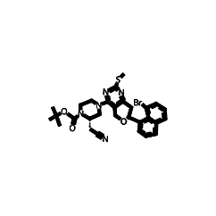 CSc1nc2c(c(N3CCN(C(=O)OC(C)(C)C)[C@@H](CC#N)C3)n1)COC(c1cccc3cccc(Br)c13)C2